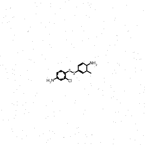 CC1C=C(SSc2ccc(N)cc2Cl)C=CC1N